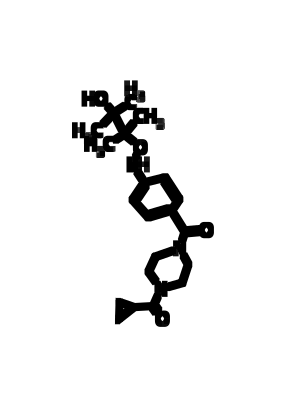 CC(C)(O)C(C)(C)OBc1ccc(C(=O)N2CCN(C(=O)C3CC3)CC2)cc1